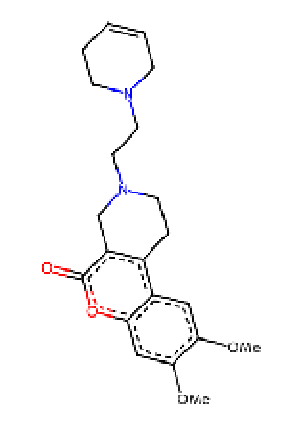 COc1cc2oc(=O)c3c(c2cc1OC)CCN(CCN1CC=CCC1)C3